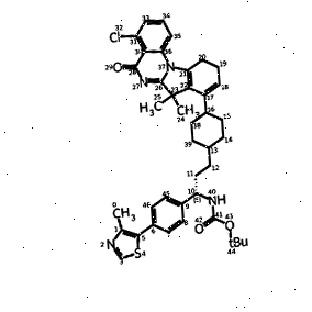 Cc1ncsc1-c1ccc([C@H](CCC2CCC(C3=CCCC4=C3C(C)(C)c3nc(=O)c5c(Cl)cccc5n34)CC2)NC(=O)OC(C)(C)C)cc1